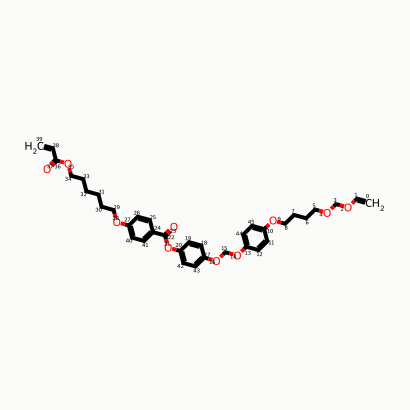 C=COCOCCCCOc1ccc(OCOc2ccc(OC(=O)c3ccc(OCCCCCCOC(=O)C=C)cc3)cc2)cc1